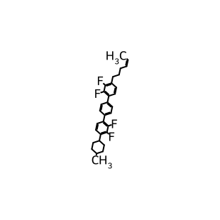 C/C=C\CCCc1ccc(-c2ccc(-c3ccc(C4CCC(C)CC4)c(F)c3F)cc2)c(F)c1F